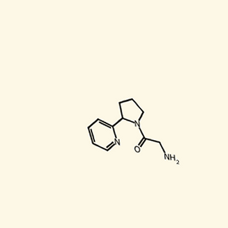 NCC(=O)N1CCCC1c1ccccn1